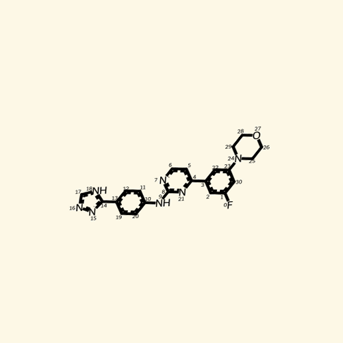 Fc1cc(-c2ccnc(Nc3ccc(-c4nnc[nH]4)cc3)n2)cc(N2CCOCC2)c1